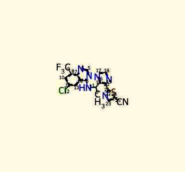 CC(Nc1ncnc2c(C(F)(F)F)cc(Cl)cc12)c1nccnc1-c1ncc(C#N)s1